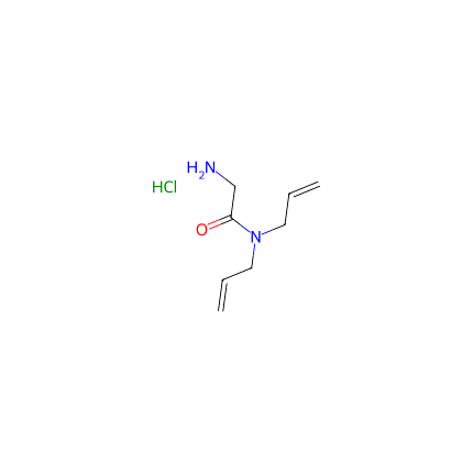 C=CCN(CC=C)C(=O)CN.Cl